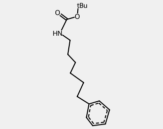 CC(C)(C)OC(=O)NCCCCCCc1ccccc1